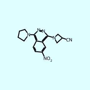 N#CC1CN(c2nnc(N3CCCC3)c3ccc([N+](=O)[O-])cc23)C1